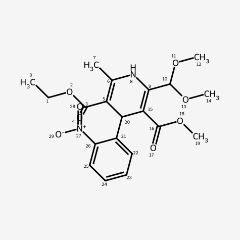 CCOC(=O)C1=C(C)NC(C(OC)OC)=C(C(=O)OC)C1c1ccccc1[N+](=O)[O-]